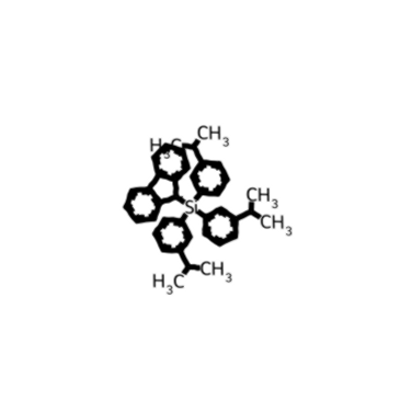 CC(C)c1cccc([Si]([C]2c3ccccc3-c3ccccc32)(c2cccc(C(C)C)c2)c2cccc(C(C)C)c2)c1